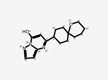 Oc1cc(C2CCC3(CCCCO3)CC2)nc2ccnn12